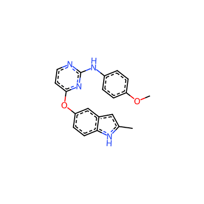 COc1ccc(Nc2nccc(Oc3ccc4[nH]c(C)cc4c3)n2)cc1